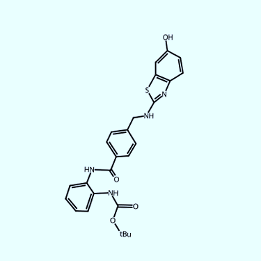 CC(C)(C)OC(=O)Nc1ccccc1NC(=O)c1ccc(CNc2nc3ccc(O)cc3s2)cc1